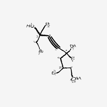 CCC(C)CC(O)(C#CC(O)(CC)CC(CC)CO)CC